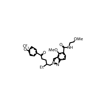 CCC(CCC(=O)c1ccc(OC(F)(F)F)cc1)Cn1cc2c(OC)c(C(=O)NCCOC)ccc2n1